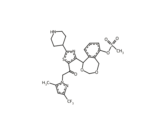 Cc1cc(C(F)(F)F)nn1CC(=O)c1sc(C2CCNCC2)nc1C1OCOCc2c(OS(C)(=O)=O)cccc21